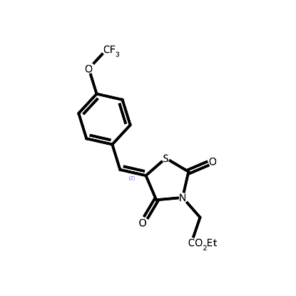 CCOC(=O)CN1C(=O)S/C(=C\c2ccc(OC(F)(F)F)cc2)C1=O